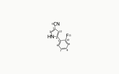 N#Cc1[c][nH]c(-c2ccccc2F)c1